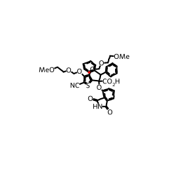 COCCOCOc1c(C#N)sc(C(Oc2cccc3c2C(=O)NC3=O)(C(=O)O)C(c2ccccc2)c2ccccc2)c1OCOCCOC